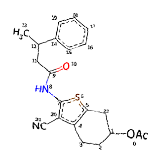 CC(=O)OC1CCc2c(sc(NC(=O)CC(C)c3ccccc3)c2C#N)C1